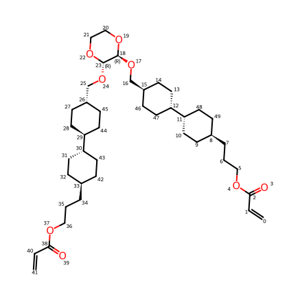 C=CC(=O)OCCC[C@H]1CC[C@H]([C@H]2CC[C@H](CO[C@@H]3OCCO[C@H]3OC[C@H]3CC[C@H]([C@H]4CC[C@H](CCCOC(=O)C=C)CC4)CC3)CC2)CC1